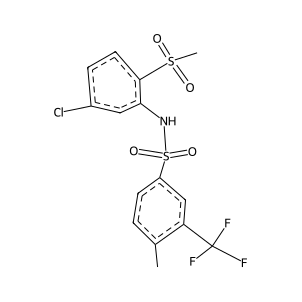 Cc1ccc(S(=O)(=O)Nc2cc(Cl)ccc2S(C)(=O)=O)cc1C(F)(F)F